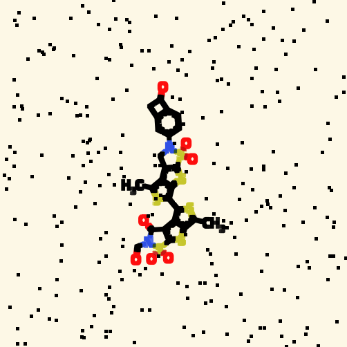 Cc1sc(-c2sc(C)c3c4c(sc23)S(=O)(=O)N(c2ccc3c(c2)CC3=O)C4)c2c3c(sc12)S(=O)(=O)N(C=O)C3=O